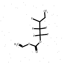 C=COC(=O)OC(F)(F)C(F)(F)C(F)CC(F)(F)F